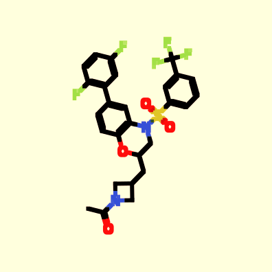 CC(=O)N1CC(CC2CN(S(=O)(=O)c3cccc(C(F)(F)F)c3)c3cc(-c4cc(F)ccc4F)ccc3O2)C1